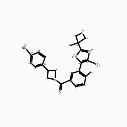 Cc1ccc(C(=O)N2CC(c3ccc(C#N)cc3)C2)cc1-c1[nH]c(C2(C)COC2)nc1C(F)(F)F